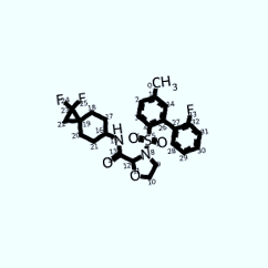 Cc1ccc(S(=O)(=O)N2CCOC2C(=O)NC2CCC3(CC2)CC3(F)F)c(-c2ccccc2F)c1